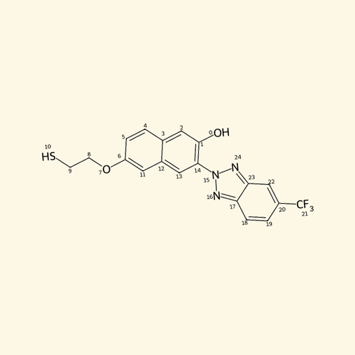 Oc1cc2ccc(OCCS)cc2cc1-n1nc2ccc(C(F)(F)F)cc2n1